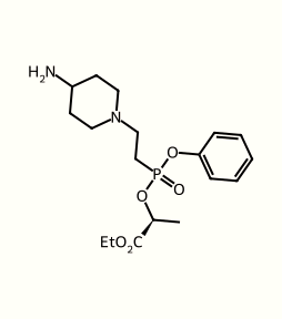 CCOC(=O)[C@H](C)OP(=O)(CCN1CCC(N)CC1)Oc1ccccc1